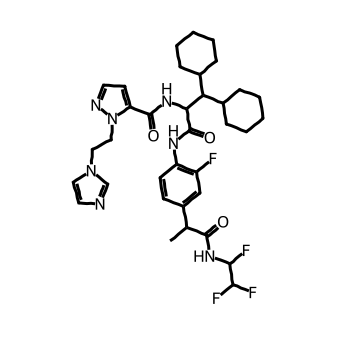 CC(C(=O)NC(F)C(F)F)c1ccc(NC(=O)C(NC(=O)c2ccnn2CCn2ccnc2)C(C2CCCCC2)C2CCCCC2)c(F)c1